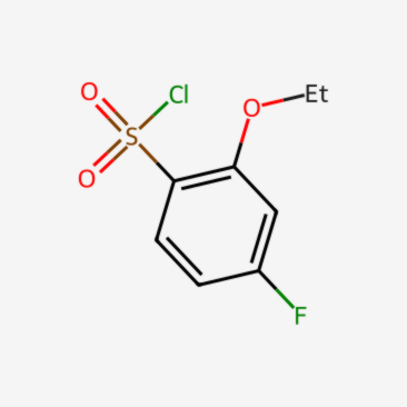 CCOc1cc(F)ccc1S(=O)(=O)Cl